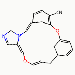 N#CC1=C2C/C(=C/N3CN=C/C3=C\O/C=C/CC3C=CC=C(C3)O2)C=C1